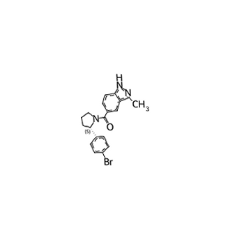 Cc1n[nH]c2ccc(C(=O)N3CCC[C@H]3c3ccc(Br)cc3)cc12